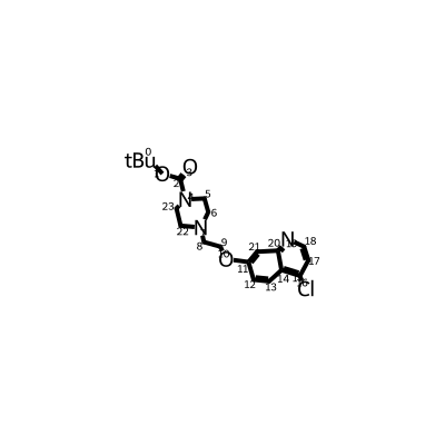 CC(C)(C)OC(=O)N1CCN(CCOc2ccc3c(Cl)ccnc3c2)CC1